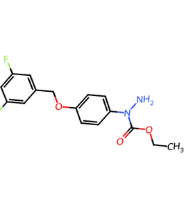 CCOC(=O)N(N)c1ccc(OCc2cc(F)cc(F)c2)cc1